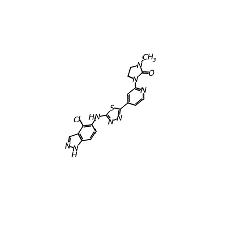 CN1CCN(c2cc(-c3nnc(Nc4ccc5[nH]ncc5c4Cl)s3)ccn2)C1=O